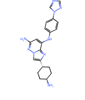 Nc1cc(Nc2ccc(-n3cncn3)cc2)c2nc([C@H]3CC[C@H](N)CC3)cn2n1